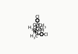 C[C@@H](c1ccc(Cl)cc1)n1nnc2c1NC(=O)C[C@]2(C)C(=O)N(C)c1ccc(Cl)cc1